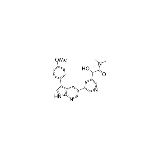 COc1ccc(-c2c[nH]c3ncc(-c4cncc(C(O)C(=O)N(C)C)c4)cc23)cc1